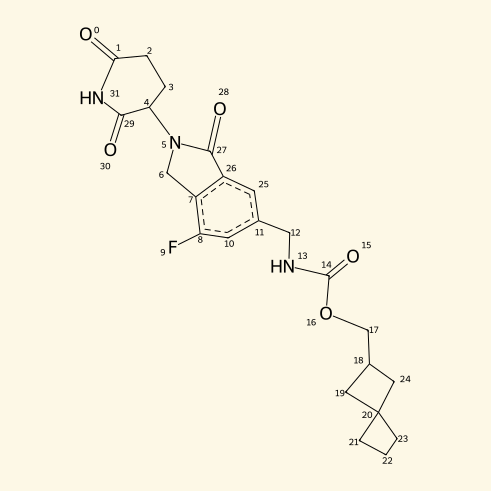 O=C1CCC(N2Cc3c(F)cc(CNC(=O)OCC4CC5(CCC5)C4)cc3C2=O)C(=O)N1